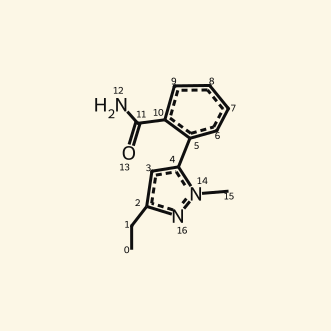 CCc1cc(-c2ccccc2C(N)=O)n(C)n1